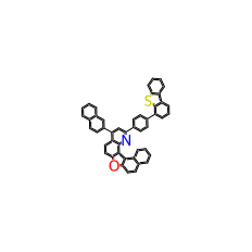 c1ccc2cc(-c3cc(-c4ccc(-c5cccc6c5sc5ccccc56)cc4)nc4c3ccc3oc5ccc6ccccc6c5c34)ccc2c1